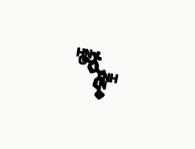 CC1(C)CNC(=O)c2ccc(-c3c[nH]c4nc(C5CCC5)ccc34)cc21